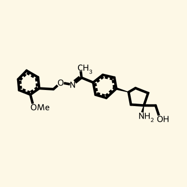 COc1ccccc1CO/N=C(\C)c1ccc([C@H]2CC[C@](N)(CO)C2)cc1